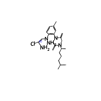 C=C1CN(C(C)CCCC(C)C)C(=C)CN1c1cc(C)ccc1N(N)/C=C(\N)Cl